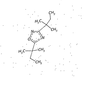 CCC(C)(C)c1noc(C(C)(C)CC)n1